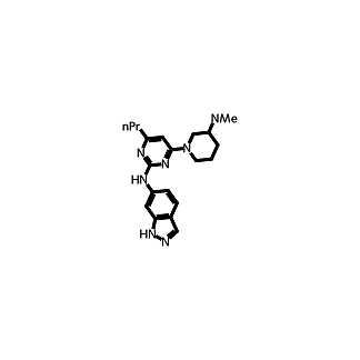 CCCc1cc(N2CCCC(NC)C2)nc(Nc2ccc3cn[nH]c3c2)n1